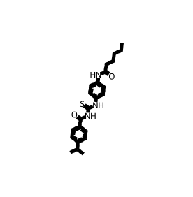 CCCCCC(=O)Nc1ccc(NC(=S)NC(=O)c2ccc(C(C)C)cc2)cc1